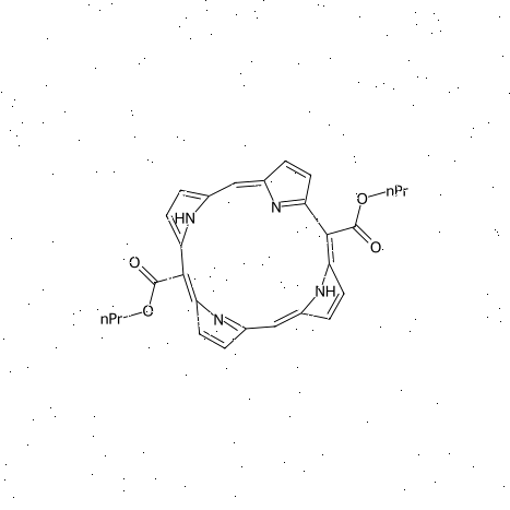 CCCOC(=O)c1c2nc(cc3ccc([nH]3)c(C(=O)OCCC)c3nc(cc4ccc1[nH]4)C=C3)C=C2